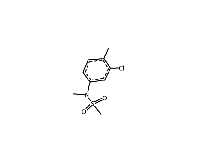 CN(c1ccc(I)c(Cl)c1)S(C)(=O)=O